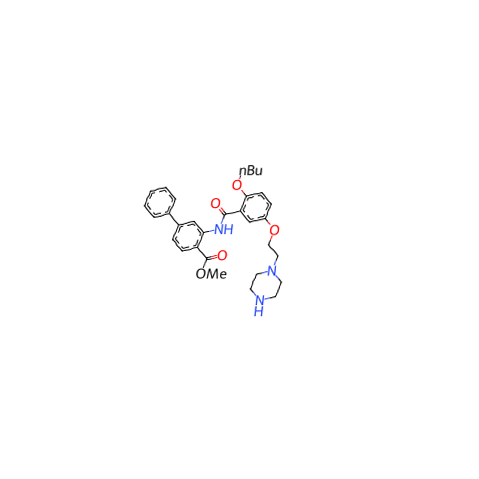 CCCCOc1ccc(OCCN2CCNCC2)cc1C(=O)Nc1cc(-c2ccccc2)ccc1C(=O)OC